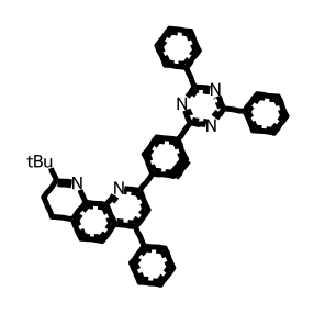 CC(C)(C)C1=Nc2c(ccc3c(-c4ccccc4)cc(-c4c#cc(-c5nc(-c6ccccc6)nc(-c6ccccc6)n5)cc4)nc23)CC1